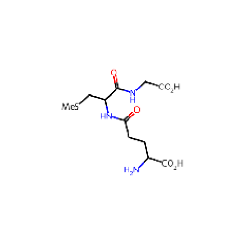 CSCC(NC(=O)CCC(N)C(=O)O)C(=O)NCC(=O)O